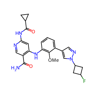 COc1c(Nc2cc(NC(=O)C3CC3)ncc2C(N)=O)cccc1-c1cnn(C2CC(F)C2)c1